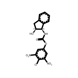 O=C(N[C@@H]1c2ccccc2C[C@@H]1O)Oc1cc([N+](=O)[O-])c(Cl)c([N+](=O)[O-])c1